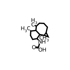 CC1CCCC2CC2C2(C)C(NC(=O)O)CCC(C)C12